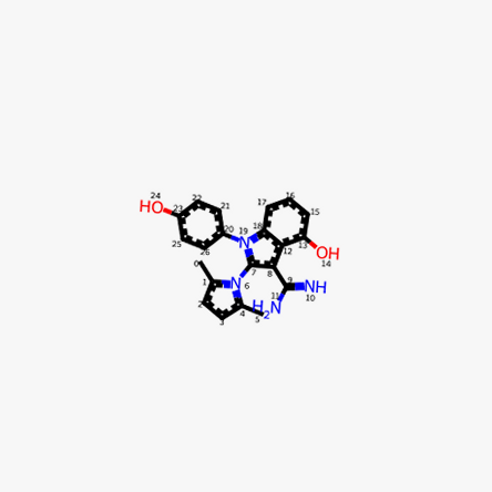 Cc1ccc(C)n1-c1c(C(=N)N)c2c(O)cccc2n1-c1ccc(O)cc1